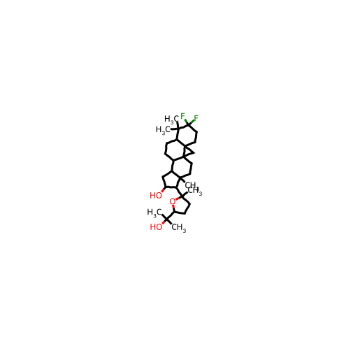 CC(C)(O)C1CCC(C)(C2C(O)CC3C4CCC5C(C)(C)C(F)(F)CCC56CC46CCC32C)O1